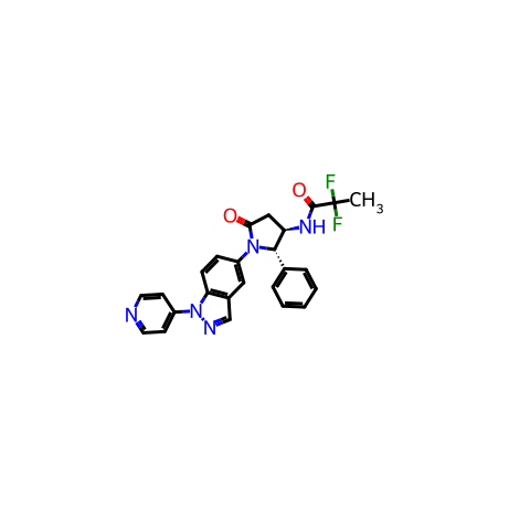 CC(F)(F)C(=O)N[C@@H]1CC(=O)N(c2ccc3c(cnn3-c3ccncc3)c2)[C@H]1c1ccccc1